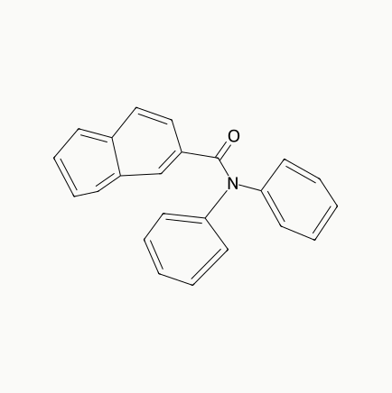 O=C(c1ccc2ccccc2c1)N(c1ccccc1)c1ccccc1